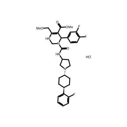 COCC1=C(C(=O)OC)C(c2ccc(F)c(F)c2)N(C(=O)NC2CCN([C@H]3CC[C@H](c4ccccc4F)CC3)C2)CN1.Cl